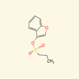 CCCS(=O)(=O)Oc1coc2ccccc12